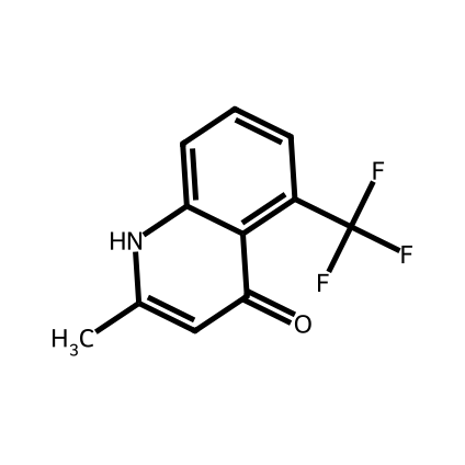 Cc1cc(=O)c2c(C(F)(F)F)cccc2[nH]1